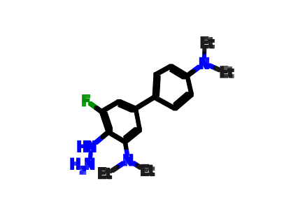 CCN(CC)c1ccc(-c2cc(F)c(NN)c(N(CC)CC)c2)cc1